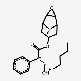 CCCCBr.CN1C2CC(OC(=O)[C@H](CO)c3ccccc3)CC1C1OC12